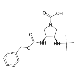 CC(C)(C)N[C@@H]1CN(C(=O)O)C[C@@H]1NC(=O)OCc1ccccc1